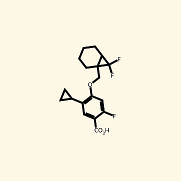 O=C(O)c1cc(C2CC2)c(OCC23CCCCC2C3(F)F)cc1F